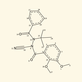 COc1cccc(C(=O)N(C#N)N(C(=O)c2ccccc2)C(C)(C)C)c1OC